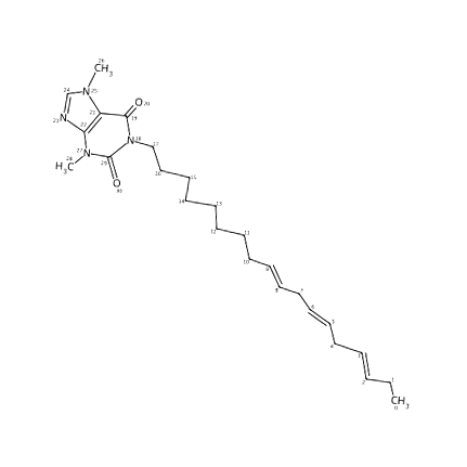 CCC=CCC=CCC=CCCCCCCCCn1c(=O)c2c(ncn2C)n(C)c1=O